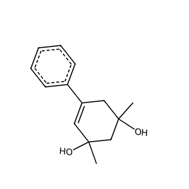 CC1(O)C=C(c2ccccc2)CC(C)(O)C1